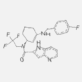 O=C(c1cc2ncccc2[nH]1)N(CC(F)(F)F)[C@@H]1C=C(NCc2ccc(F)cc2)CCC1